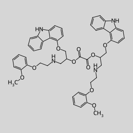 COc1ccccc1OCCNCC(COc1cccc2[nH]c3ccccc3c12)OC(=O)C(=O)OC(CNCCOc1ccccc1OC)COc1cccc2[nH]c3ccccc3c12